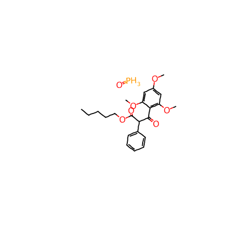 CCCCCOC(=O)C(C(=O)c1c(OC)cc(OC)cc1OC)c1ccccc1.O=[PH3]